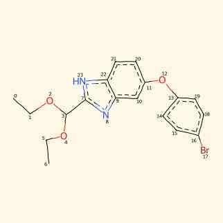 CCOC(OCC)c1nc2cc(Oc3ccc(Br)cc3)ccc2[nH]1